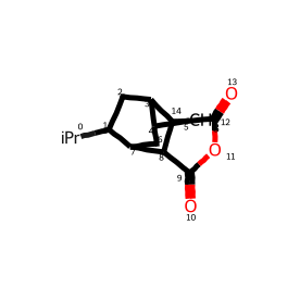 CC(C)C1CC2C(C)CC1C1C(=O)OC(=O)C21